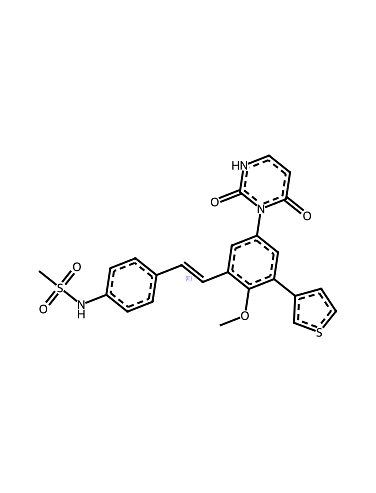 COc1c(/C=C/c2ccc(NS(C)(=O)=O)cc2)cc(-n2c(=O)cc[nH]c2=O)cc1-c1ccsc1